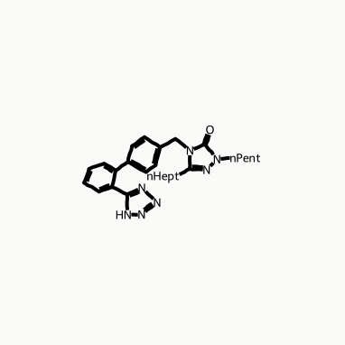 CCCCCCCc1nn(CCCCC)c(=O)n1Cc1ccc(-c2ccccc2-c2nnn[nH]2)cc1